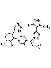 Cn1nnc(F)c1-c1cnn([C@@H](CC2CC2)c2ccc(-c3c(-n4cnnn4)ccc(Cl)c3F)cn2)c1